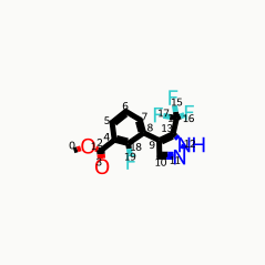 COC(=O)c1cccc(-c2cn[nH]c2C(F)(F)F)c1F